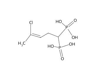 CC(Cl)=CCC(P(=O)(O)O)P(=O)(O)O